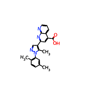 Cc1ccc(C)c(-n2ncc(-c3cc(C(=O)O)c4cccnc4n3)c2C)c1